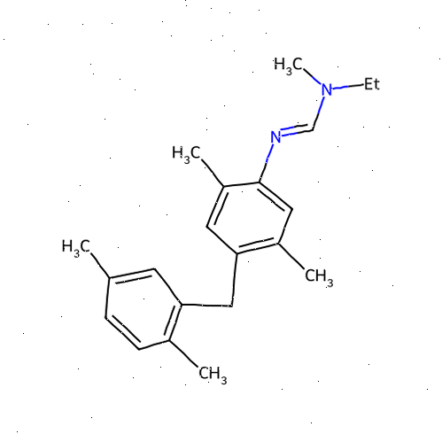 CCN(C)C=Nc1cc(C)c(Cc2cc(C)ccc2C)cc1C